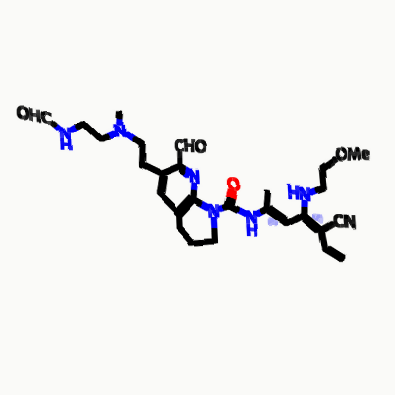 C=C/C(C#N)=C(\C=C(/C)NC(=O)N1CCCc2cc(CCN(C)CCNC=O)c(C=O)nc21)NCCOC